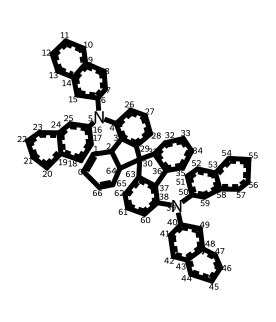 C1=CC2c3c(N(c4ccc5ccccc5c4)c4ccc5ccccc5c4)cccc3C3(c4ccccc4-c4c(N(c5ccc6ccccc6c5)c5ccc6ccccc6c5)cccc43)C2C=C1